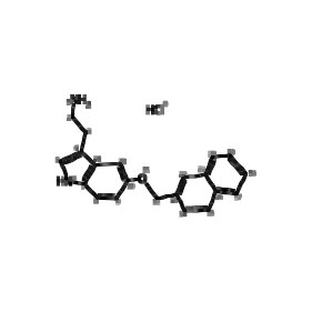 Cl.NCCc1c[nH]c2ccc(OCc3ccc4ccccc4c3)cc12